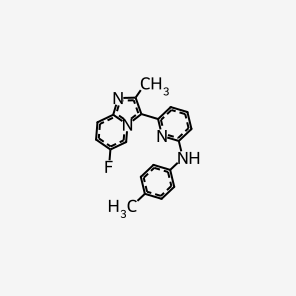 Cc1ccc(Nc2cccc(-c3c(C)nc4ccc(F)cn34)n2)cc1